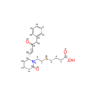 O=C(O)CCCSCCN1C(=O)CCC[C@@H]1/C=C/C(=O)Cc1ccccc1